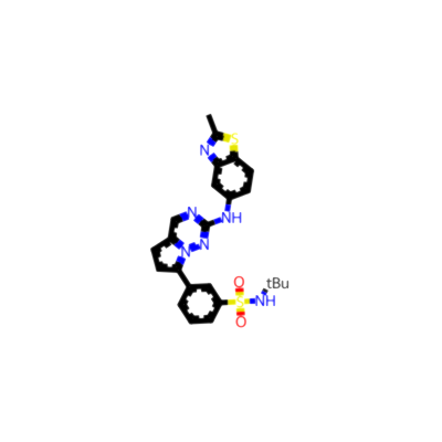 Cc1nc2cc(Nc3ncc4ccc(-c5cccc(S(=O)(=O)NC(C)(C)C)c5)n4n3)ccc2s1